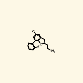 NCCC1Cc2cc(Cl)cc(-c3ccccc3F)c2O1